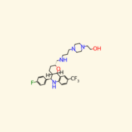 OCCN1CCN(CCCNC[C@H]2CC[C@@H]3[C@H](O2)c2cc(C(F)(F)F)ccc2N[C@H]3c2ccc(F)cc2)CC1